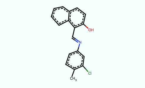 Cc1ccc(/N=C/c2c(O)ccc3ccccc23)cc1Cl